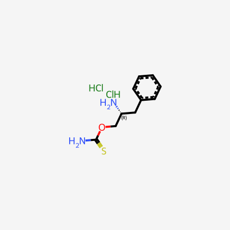 Cl.Cl.NC(=S)OC[C@H](N)Cc1ccccc1